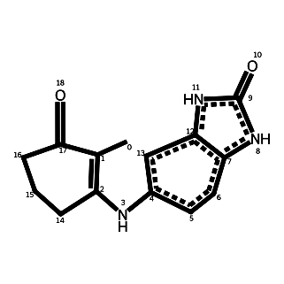 CC1=C(Nc2ccc3[nH]c(=O)[nH]c3c2)CCCC1=O